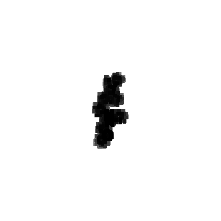 CC1(C)c2ccccc2-c2cc3c(cc21)-c1ccc(-c2cccc(-c4cc(-c5ccc6c(c5)oc5ccccc56)nc(-c5ccccc5)n4)c2)cc1C31CCCCC1